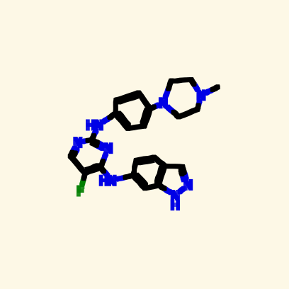 CN1CCN(c2ccc(Nc3ncc(F)c(Nc4ccc5cn[nH]c5c4)n3)cc2)CC1